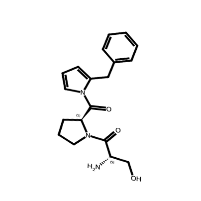 N[C@@H](CO)C(=O)N1CCC[C@H]1C(=O)n1cccc1Cc1ccccc1